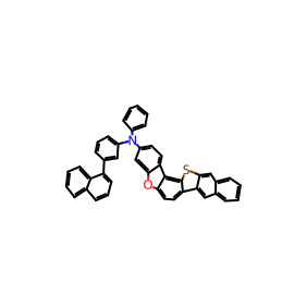 c1ccc(N(c2cccc(-c3cccc4ccccc34)c2)c2ccc3c(c2)oc2ccc4c5cc6ccccc6cc5sc4c23)cc1